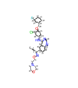 CC#C/C(=N\OCCN1CCOCC1)c1ccc2ncnc(Nc3ccc(OCc4cccc(F)c4)c(Cl)c3)c2c1